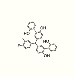 Cc1cc(C(c2ccc(O)c(-c3ccccc3O)c2)c2ccc(O)c(-c3ccccc3O)c2)ccc1F